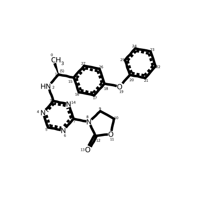 C[C@H](Nc1ncnc(N2CCOC2=O)n1)c1ccc(Oc2ccccc2)cc1